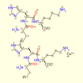 CC(C)C[C@H](N)C(=O)N[C@@H](Cc1c[nH]cn1)C(=O)N[C@@H](CCCCN)C(=O)[O-].CC(C)C[C@H](N)C(=O)N[C@@H](Cc1c[nH]cn1)C(=O)N[C@@H](CCCCN)C(=O)[O-].[Cu+2]